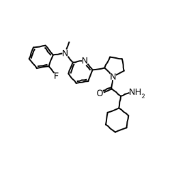 CN(c1cccc(C2CCCN2C(=O)C(N)C2CCCCC2)n1)c1ccccc1F